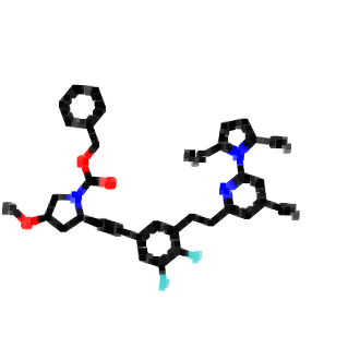 CCO[C@@H]1C[C@H](C#Cc2cc(F)c(F)c(CCc3cc(C)cc(-n4c(C)ccc4C)n3)c2)N(C(=O)OCc2ccccc2)C1